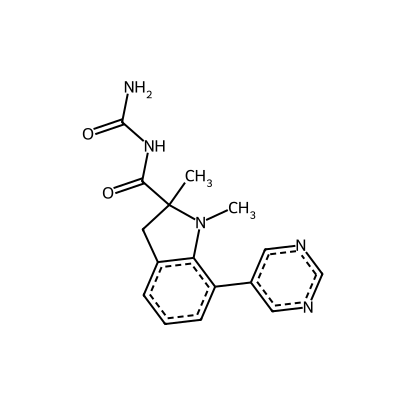 CN1c2c(cccc2-c2cncnc2)CC1(C)C(=O)NC(N)=O